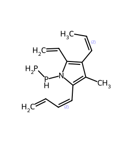 C=C/C=C\c1c(C)c(/C=C\C)c(C=C)n1PP